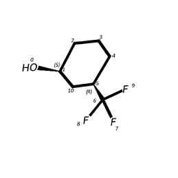 O[C@H]1CCC[C@@H](C(F)(F)F)C1